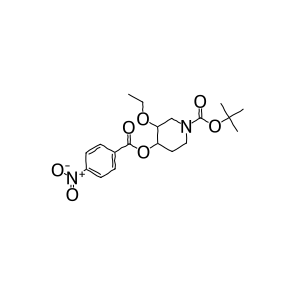 CCOC1CN(C(=O)OC(C)(C)C)CCC1OC(=O)c1ccc([N+](=O)[O-])cc1